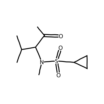 CC(=O)C(C(C)C)N(C)S(=O)(=O)C1CC1